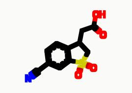 N#Cc1ccc2c(c1)S(=O)(=O)CC2CC(=O)O